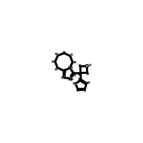 c1csc(C2(c3nnc4n3CCCCCC4)COC2)c1